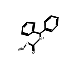 CCCCOC(=O)NC(c1ccccc1)c1ccccc1